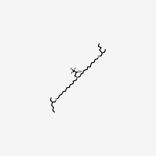 CCCCC(CC)CSCCCCCCCCCCCN(CCCCCCCCCCCSCC(CC)CCCC)CC(O)C(F)(F)F